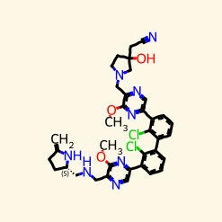 C=C1CC[C@@H](CNCc2ncc(-c3cccc(-c4cccc(-c5cnc(CN6CCC(O)(CC#N)C6)c(OC)n5)c4Cl)c3Cl)nc2OC)N1